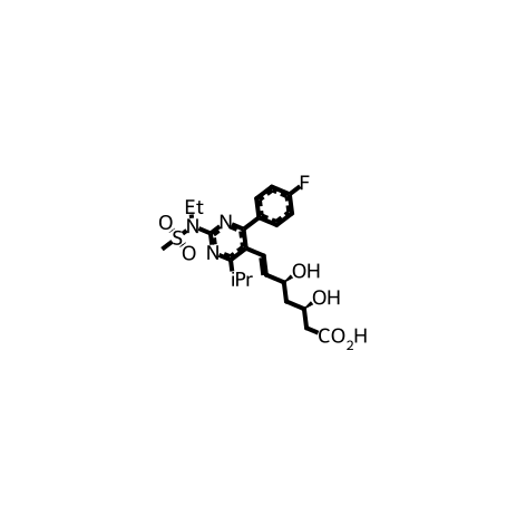 CCN(c1nc(-c2ccc(F)cc2)c(C=C[C@@H](O)C[C@@H](O)CC(=O)O)c(C(C)C)n1)S(C)(=O)=O